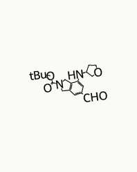 CC(C)(C)OC(=O)N1Cc2cc(C=O)cc(N[C@H]3CCOC3)c2C1